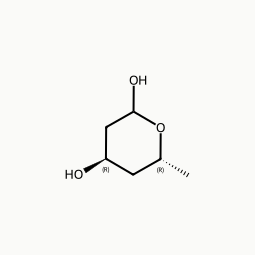 C[C@@H]1C[C@@H](O)CC(O)O1